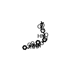 CC(C)(C)OC(=O)N1CCC(C(=O)Nc2cc(Oc3cccc(NC(=O)NC(=O)Cc4ccccc4)c3F)ccn2)CC1